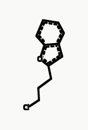 ClCCCc1cc2ccccc2o1